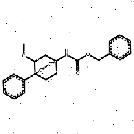 COC1CC2(NC(=O)OCc3ccccc3)CCC1(c1ccccc1)CC2